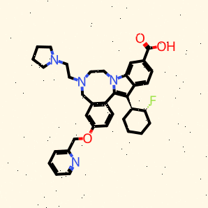 O=C(O)c1ccc2c([C@@H]3CCCC[C@H]3F)c3n(c2c1)CCN(CCN1CCCC1)Cc1cc(OCc2ccccn2)ccc1-3